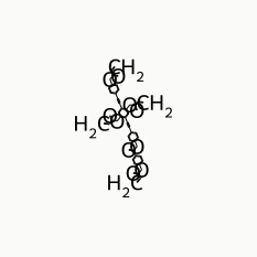 C=CC(=O)Oc1ccc(C#Cc2cc(OC(=O)C=C)c(C#Cc3ccc(OC(=O)c4ccc(OC(=O)C=C)cc4)cc3)cc2OC(=O)C=C)cc1